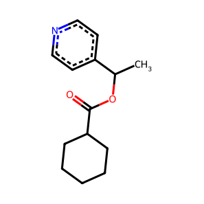 CC(OC(=O)C1CCCCC1)c1ccncc1